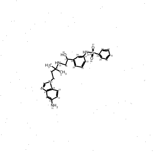 CC(C)(CCn1cnc2cc(N)ccc21)NCC(O)c1cccc(NS(=O)(=O)c2ccccc2)c1